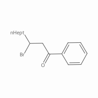 CCCCCCCC(Br)CC(=O)c1ccccc1